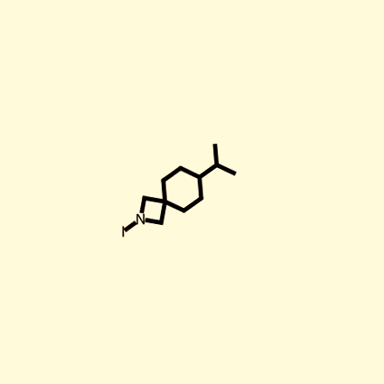 CC(C)C1CCC2(CC1)CN(I)C2